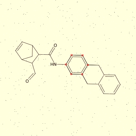 O=CC1C2C=CC(C2)C1C(=O)Nc1ccc2c(c1)C1c3ccccc3C2c2ccccc21